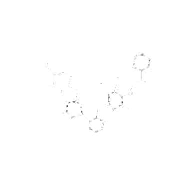 CN(C)C1CCC(Nc2nccc(-c3cccnc3Oc3cc(F)c(N[S+]([O-])Cc4ccccc4)c(F)c3F)n2)CC1F